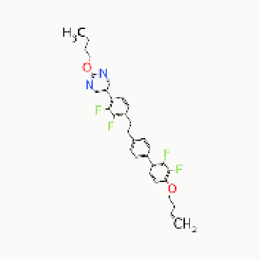 C=CCCOc1ccc(-c2ccc(CCc3ccc(-c4cnc(OCCCC)nc4)c(F)c3F)cc2)c(F)c1F